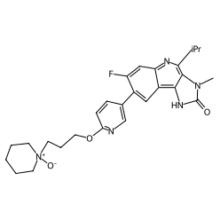 CC(C)c1nc2cc(F)c(-c3ccc(OCCC[N+]4([O-])CCCCC4)nc3)cc2c2[nH]c(=O)n(C)c12